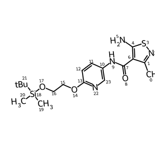 Cc1nsc(N)c1C(=O)Nc1ccc(OCCO[Si](C)(C)C(C)(C)C)nc1